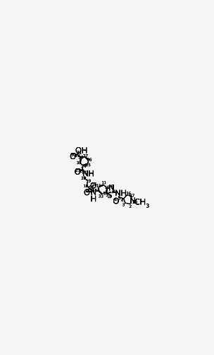 CN1CCC(C(=O)Nc2nc3ccc(NS(=O)(=O)CCCNC(=O)c4cccc(C(=O)O)c4)cc3s2)CC1